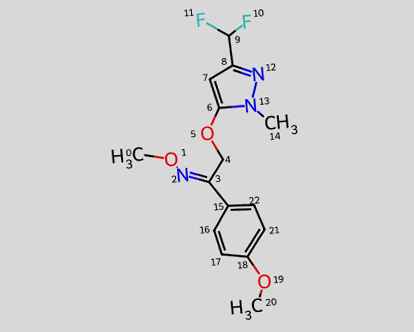 CON=C(COc1cc(C(F)F)nn1C)c1ccc(OC)cc1